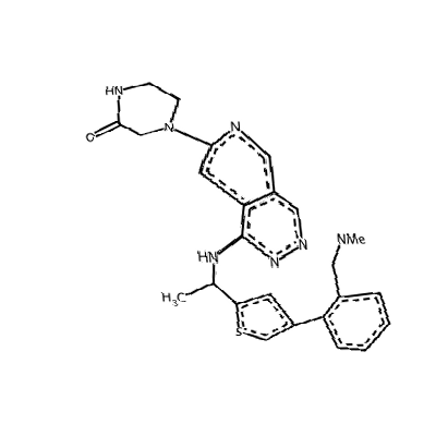 CNCc1ccccc1-c1csc(C(C)Nc2nncc3cnc(N4CCNC(=O)C4)cc23)c1